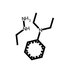 CCN(CC)c1ccccc1.CCNN